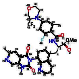 COC(=O)[C@H](Cc1ccc(-n2c(=O)c3cc(C)ncc3n(C)c2=O)c2ncccc12)NC(=O)c1c(C)cc(N2CCOC[C@@H]2C(F)(F)F)cc1F